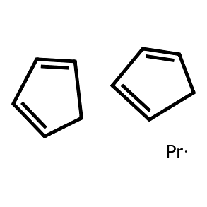 C1=CCC=C1.C1=CCC=C1.[Pr]